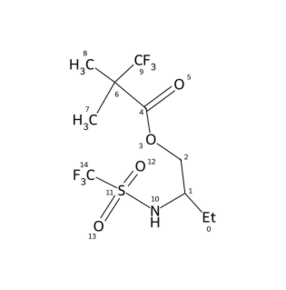 CCC(COC(=O)C(C)(C)C(F)(F)F)NS(=O)(=O)C(F)(F)F